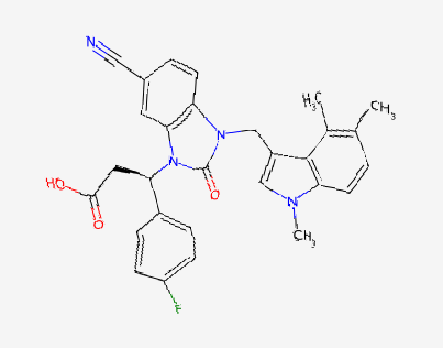 Cc1ccc2c(c(Cn3c(=O)n([C@H](CC(=O)O)c4ccc(F)cc4)c4cc(C#N)ccc43)cn2C)c1C